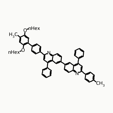 CCCCCCOc1cc(-c2ccc(-c3cc(-c4ccccc4)c4cc(-c5ccc6nc(-c7ccc(C)cc7)cc(-c7ccccc7)c6c5)ccc4n3)cc2)c(OCCCCCC)cc1C